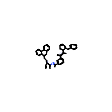 C=C/C(=C\CC1Cc2ccccc2-c2ccccc21)C(=C)/N=C(\C)c1cccc(/C(C)=C(\C)C2CC=CC=C2Cc2ccccc2)c1